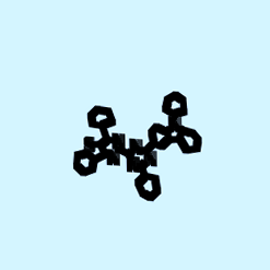 c1ccc(-c2nc(-c3ccc4c(c3)c3ccccc3n4-c3ccccc3)nc(-c3nc(-c4ccccc4)c4sc5ccccc5c4n3)n2)cc1